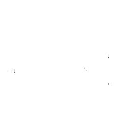 [C-]#[N+]c1ccc(Cn2c(Cl)nc3ccccc32)cc1